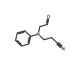 N#CCCN(CC=O)c1ccccc1